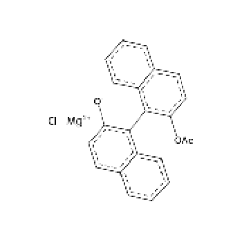 CC(=O)Oc1ccc2ccccc2c1-c1c([O-])ccc2ccccc12.[Cl-].[Mg+2]